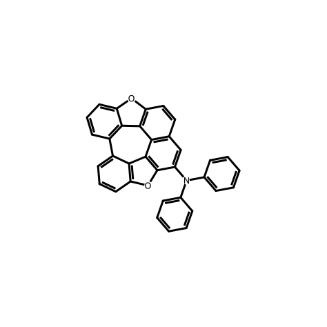 c1ccc(N(c2ccccc2)c2cc3ccc4oc5cccc6c5c4c3c3c2oc2cccc-6c23)cc1